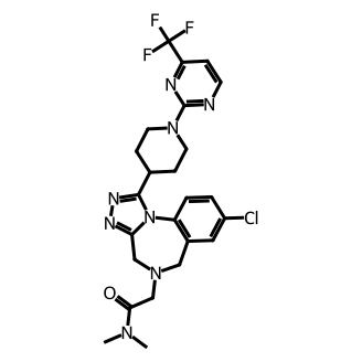 CN(C)C(=O)CN1Cc2cc(Cl)ccc2-n2c(nnc2C2CCN(c3nccc(C(F)(F)F)n3)CC2)C1